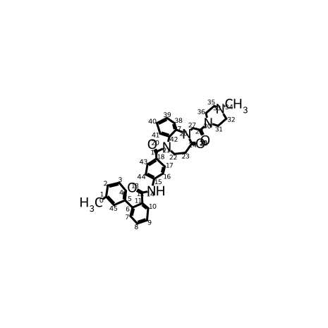 Cc1cccc(-c2ccccc2C(=O)Nc2ccc(C(=O)N3CCC(=O)N(CC(=O)N4CCN(C)CC4)c4ccccc43)cc2)c1